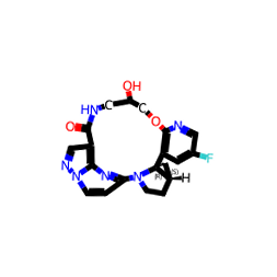 O=C1NCC(O)COc2ncc(F)cc2[C@@]23C[C@@H]2CCN3c2ccn3ncc1c3n2